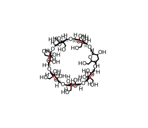 NC1[C@@H]2OC(CO)[C@@H](O[C@H]3OC(CO)[C@@H](O[C@H]4OC(CO)[C@H](CC4O)O[C@H]4OC(CO)[C@H](O[C@H]5OC(CO)[C@@H](O[C@H]6OC(CO)[C@@H](O[C@H]7OC(CO)[C@@H](O2)[C@H](O)C7O)[C@H](O)C6O)[C@H](O)C5O)[C@H](O)C4O)[C@H](O)C3O)[C@@H]1O